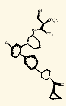 N=C/C(C(=O)O)=C(\NC1CCCN(c2cc(Cl)ccc2-c2ccc(C3CCN(C(=O)C4CC4)CC3)cc2)C1)C(F)(F)F